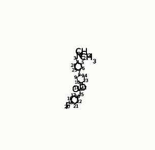 CN(C)Cc1ccc([C@H]2CC[C@H](OC(=O)Cc3ccc(F)cc3)CC2)cc1